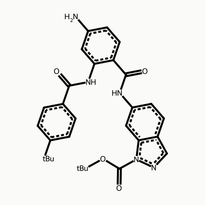 CC(C)(C)OC(=O)n1ncc2ccc(NC(=O)c3ccc(N)cc3NC(=O)c3ccc(C(C)(C)C)cc3)cc21